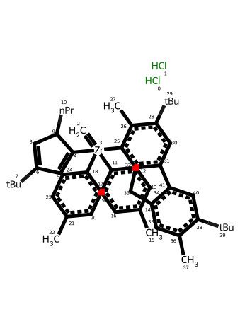 Cl.Cl.[CH2]=[Zr]([C]1=CC(C(C)(C)C)=CC1CCC)([c]1ccc(C)cc1)([c]1ccc(C)cc1)[c]1c(C)c(C(C)(C)C)cc2c1Cc1cc(C)c(C(C)(C)C)cc1-2